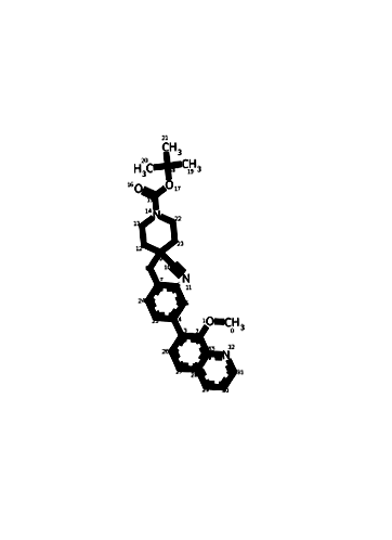 COc1c(-c2ccc(CC3(C#N)CCN(C(=O)OC(C)(C)C)CC3)cc2)ccc2cccnc12